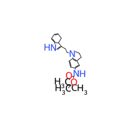 CC(C)(C)OC(=O)Nc1ccc2c(c1)CCCN2CCC1=CNC2=CC=CCC12